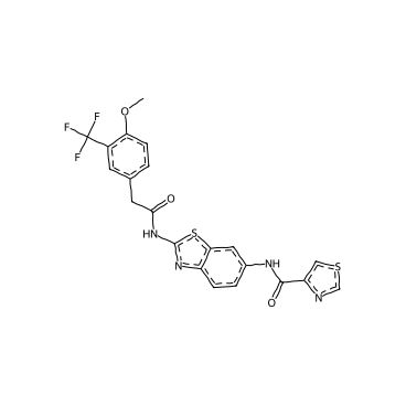 COc1ccc(CC(=O)Nc2nc3ccc(NC(=O)c4cscn4)cc3s2)cc1C(F)(F)F